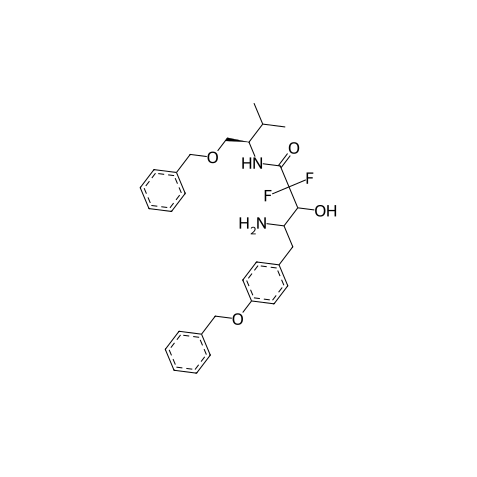 CC(C)[C@H](COCc1ccccc1)NC(=O)C(F)(F)C(O)C(N)Cc1ccc(OCc2ccccc2)cc1